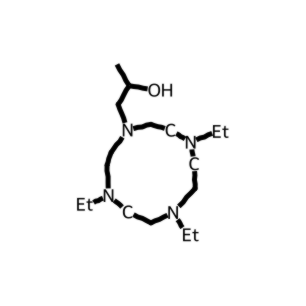 CCN1CCN(CC)CCN(CC(C)O)CCN(CC)CC1